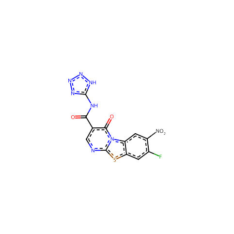 O=C(Nc1nnn[nH]1)c1cnc2sc3cc(F)c([N+](=O)[O-])cc3n2c1=O